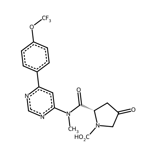 CN(C(=O)[C@@H]1CC(=O)CN1C(=O)O)c1cc(-c2ccc(OC(F)(F)F)cc2)ncn1